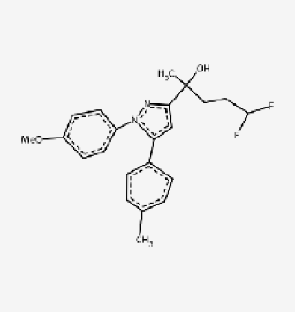 COc1ccc(-n2nc(C(C)(O)CCC(F)F)cc2-c2ccc(C)cc2)cc1